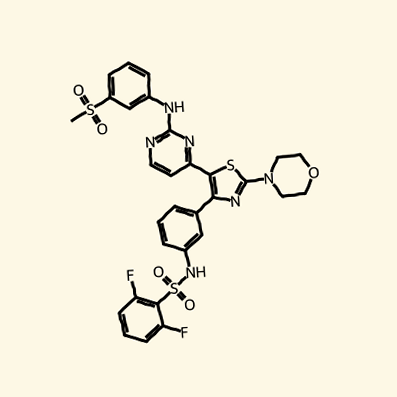 CS(=O)(=O)c1cccc(Nc2nccc(-c3sc(N4CCOCC4)nc3-c3cccc(NS(=O)(=O)c4c(F)cccc4F)c3)n2)c1